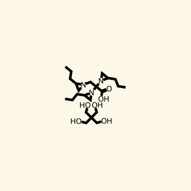 CCCC1CN1CC(C(=O)O)(N1CC1CCC)N1CC1CCC.OCC(CO)(CO)CO